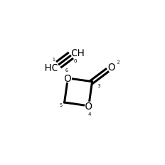 C#C.O=C1OCO1